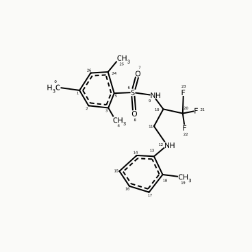 Cc1cc(C)c(S(=O)(=O)NC(CNc2ccccc2C)C(F)(F)F)c(C)c1